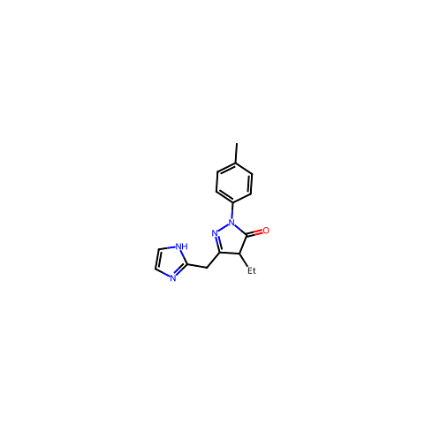 CCC1C(=O)N(c2ccc(C)cc2)N=C1Cc1ncc[nH]1